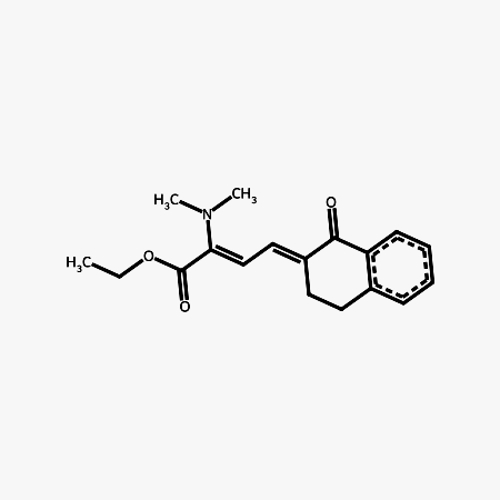 CCOC(=O)/C(=C/C=C1\CCc2ccccc2C1=O)N(C)C